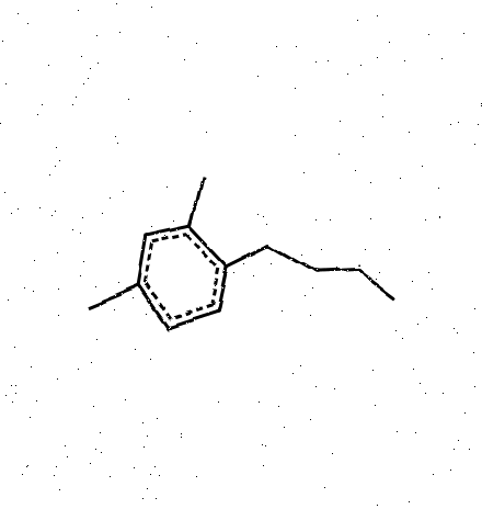 C[CH]CCc1ccc(C)cc1C